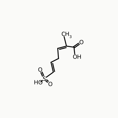 CC(=CCC=CS(=O)(=O)O)C(=O)O